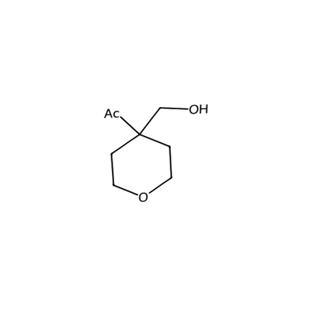 CC(=O)C1(CO)CCOCC1